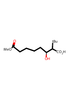 COC(=O)CCCC[C@H](O)C(C(=O)O)C(C)(C)C